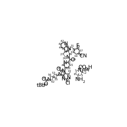 CCCC1(C)CC(N)CCN1C(=O)O.Cc1nc(Cl)nc2c1n(-c1ccc(C(=O)N3CCc4c(n(Cc5ccc(C#N)cc5F)c5ncccc45)C3)nc1)c(=O)n2C1CC2(C1)CN(C(=O)OC(C)(C)C)C2